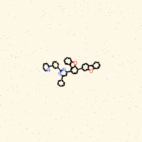 c1ccc(-c2cc(-c3ccc(-c4ccc5c(c4)oc4ccccc45)c4oc5ccccc5c34)nc(-c3cccc(-c4ccccn4)c3)n2)cc1